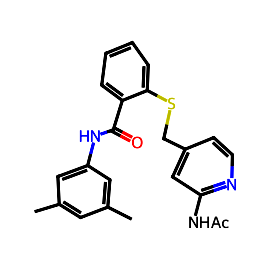 CC(=O)Nc1cc(CSc2ccccc2C(=O)Nc2cc(C)cc(C)c2)ccn1